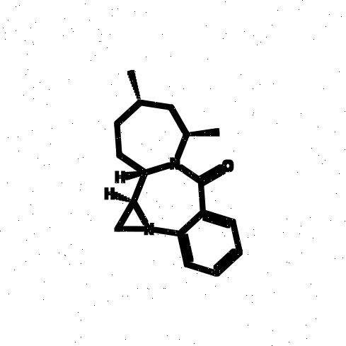 C[C@H]1CC[C@H]2[C@@H]3CN3c3ccccc3C(=O)N2[C@H](C)C1